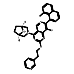 Cc1cccc2cccc(-c3ncc4c(N5C[C@H]6CC[C@@H](C5)N6)nc(OCCc5cccnc5)nc4c3F)c12